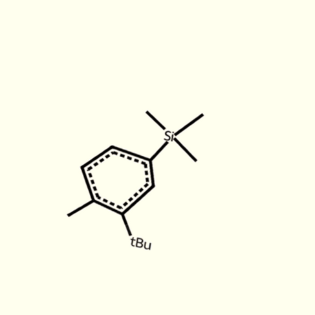 Cc1ccc([Si](C)(C)C)cc1C(C)(C)C